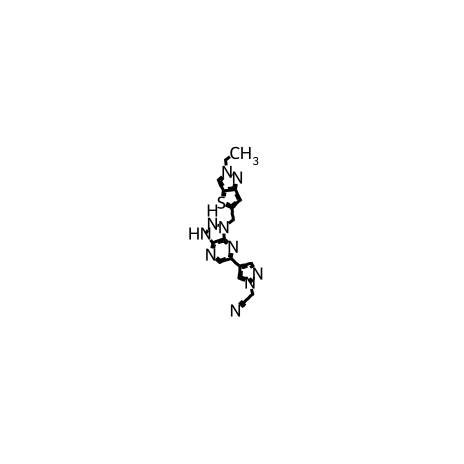 CCn1cc2sc(CN3NNc4ncc(-c5cnn(CC#N)c5)nc43)cc2n1